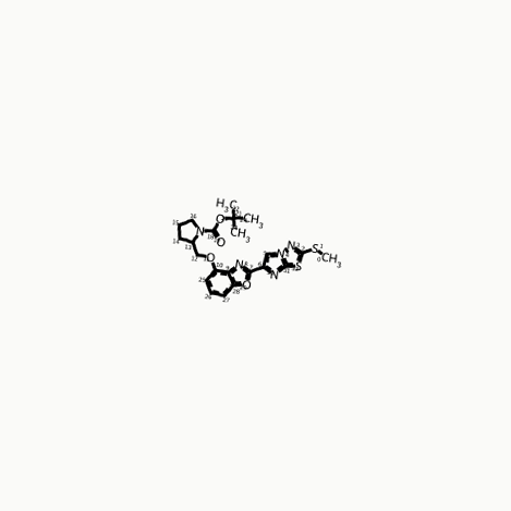 CSc1nn2cc(-c3nc4c(OCC5CCCN5C(=O)OC(C)(C)C)cccc4o3)nc2s1